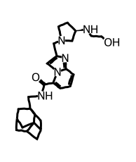 O=C(NCC12CC3CC4CC(C1)C4(C3)C2)c1cccc2nc(CN3CC[C@@H](NCCO)C3)cn12